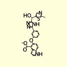 COC(=O)c1c(Oc2cccc(-c3nnc(C(O)c4cnc(C)s4)[nH]3)c2)ccc2[nH]ccc12